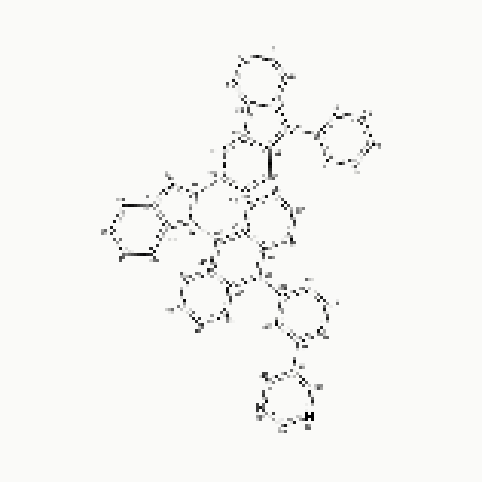 c1ccc(-n2c3ccccc3c3cc(-c4sc5ccccc5c4-c4c5ccccc5c(-c5cccc(-c6cncnc6)c5)c5ccccc45)ccc32)cc1